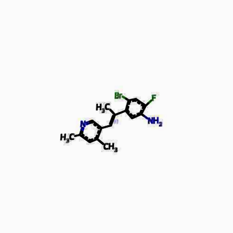 C/C(=C\c1cnc(C)cc1C)c1cc(N)c(F)cc1Br